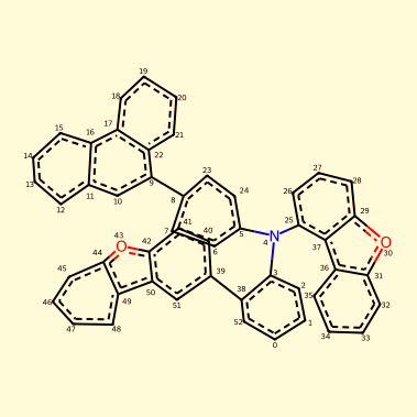 c1ccc(N(c2ccc(-c3cc4ccccc4c4ccccc34)cc2)c2cccc3oc4ccccc4c23)c(-c2ccc3oc4ccccc4c3c2)c1